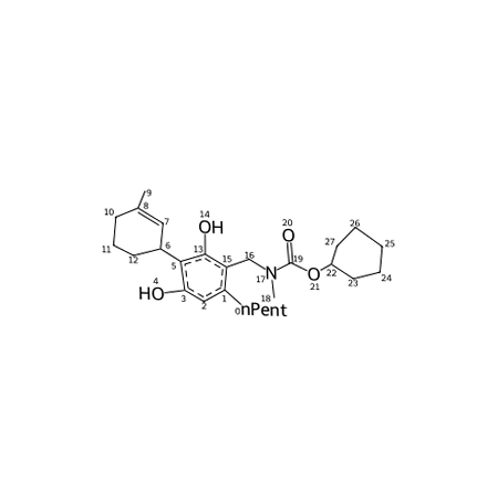 CCCCCc1cc(O)c(C2C=C(C)CCC2)c(O)c1CN(C)C(=O)OC1CCCCC1